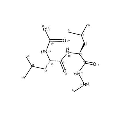 CNNC(=O)[C@H](CC(C)C)NC(=O)[C@H](CC(C)C)NC(=O)O